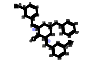 O=C1/C(=C/c2cccc(Br)c2)CN(Cc2ccccc2)C/C1=C\c1cccc(Br)c1